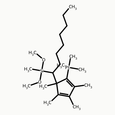 CCCCCCCC(C1(C)C(C)=C(C)C(C)=[C]1[Pt]([CH3])([CH3])[CH3])[Si](C)(OC)OC